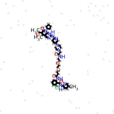 CC(=O)c1c(C)c2cnc(Nc3ccc(N4CCN(CC(=O)NCCOCCOCCC(=O)Nc5cccc(Cl)c5C(=O)Nc5ccc(C)cn5)CC4)cn3)nc2n(C2CCCC2)c1=O